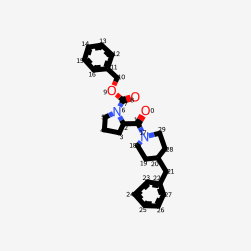 O=C(C1CCCN1C(=O)OCc1ccccc1)N1CCC(Cc2ccccc2)CC1